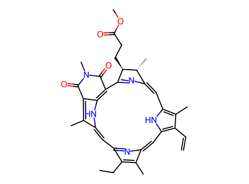 C=Cc1c(C)c2cc3nc(c4c5[nH]c(cc6nc(cc1[nH]2)C(C)=C6CC)c(C)c5C(=O)N(C)C4=O)[C@@H](CCC(=O)OC)[C@@H]3C